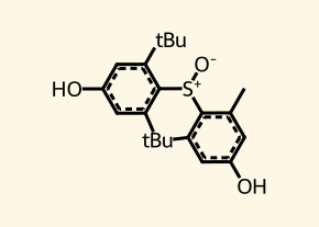 Cc1cc(O)cc(C(C)(C)C)c1[S+]([O-])c1c(C)cc(O)cc1C(C)(C)C